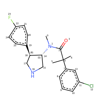 CN(C(=O)C(C)(C)c1cccc(Cl)c1)[C@@H]1CNC[C@H]1c1ccc(F)cc1